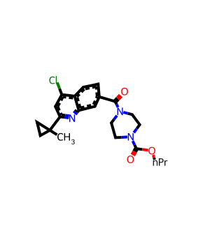 CCCOC(=O)N1CCN(C(=O)c2ccc3c(Cl)cc(C4(C)CC4)nc3c2)CC1